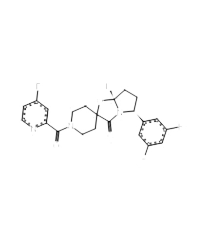 O=C(c1cc(F)ccn1)N1CCC2(CC1)O[C@@H]1CC[C@@H](c3cc(F)cc(F)c3)N1C2=O